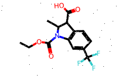 CCOC(=O)N1c2cc(C(F)(F)F)ccc2C(C(=O)O)C1C